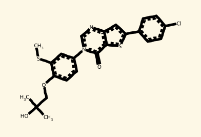 CSc1cc(-n2cnc3cc(-c4ccc(Cl)cc4)sc3c2=O)ccc1OCC(C)(C)O